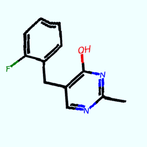 Cc1ncc(Cc2ccccc2F)c(O)n1